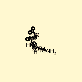 CN(Cc1cc2ccccc2n1CCC(=O)N[C@@H](CS(=O)(=O)O)C(=O)NCCOCCOCCN)N(C)C(=O)OCC1c2ccccc2-c2ccccc21